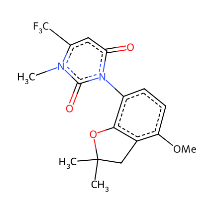 COc1ccc(-n2c(=O)cc(C(F)(F)F)n(C)c2=O)c2c1CC(C)(C)O2